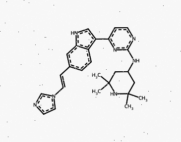 CC1(C)CC(Nc2nccc(-c3c[nH]c4cc(/C=C/n5ccnc5)ccc34)n2)CC(C)(C)N1